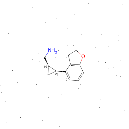 NC[C@@H]1C[C@@H]1c1cccc2c1CCO2